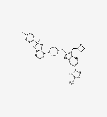 Cc1ccc(C2(C)Oc3cccc(C4CCN(Cc5nc6cc(-c7nnc(C(F)(F)F)[nH]7)cnc6n5C[C@@H]5CCO5)CC4)c3O2)cn1